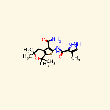 Cc1c[nH]nc1C(=O)Nc1sc2c(c1C(N)=O)CC(C)(C)OC2(C)C